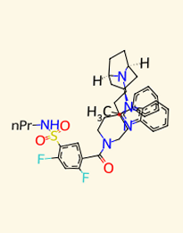 CCCNS(=O)(=O)c1cc(C(=O)N2CCC(CCN3[C@@H]4CC[C@H]3C[C@@H](n3c(C)nc5ccccc53)C4)(c3ccccc3)CC2)c(F)cc1F